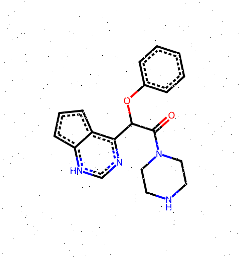 O=C(C(Oc1ccccc1)c1nc[nH]c2cccc1-2)N1CCNCC1